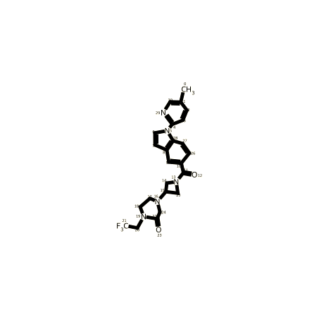 Cc1ccc(-n2ccc3cc(C(=O)N4CC(N5CCN(CC(F)(F)F)C(=O)C5)C4)ccc32)nc1